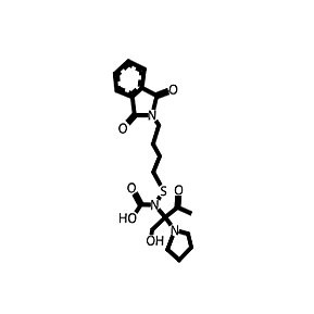 CC(=O)C(CO)(N1CCCC1)N(SCCCCN1C(=O)c2ccccc2C1=O)C(=O)O